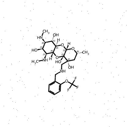 CN[C@@H]1[C@H](O)[C@H](NC)[C@H]2O[C@]3(O)[C@H](O[C@@H]2[C@H]1O)O[C@H](C)C[C@@]3(O)CNCc1ccccc1OC(F)(F)F